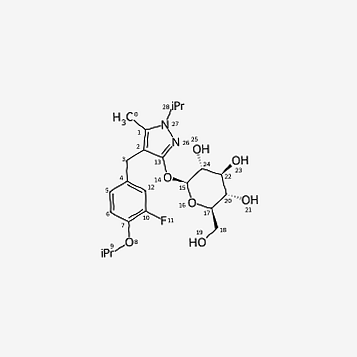 Cc1c(Cc2ccc(OC(C)C)c(F)c2)c(O[C@@H]2O[C@H](CO)[C@@H](O)[C@H](O)[C@H]2O)nn1C(C)C